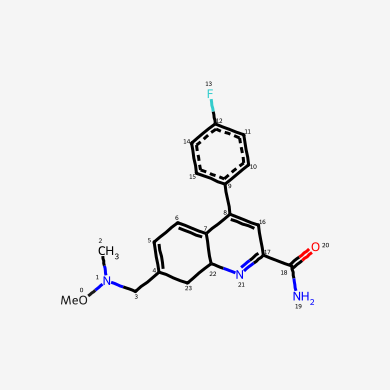 CON(C)CC1=CC=C2C(c3ccc(F)cc3)=CC(C(N)=O)=NC2C1